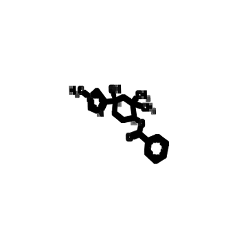 Cn1cnc([C@@]2(O)CC[C@H](OC(=O)c3ccccc3)C(C)(C)C2)c1